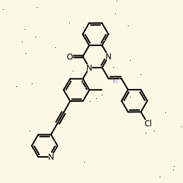 Cc1cc(C#Cc2cccnc2)ccc1-n1c(/C=C/c2ccc(Cl)cc2)nc2ccccc2c1=O